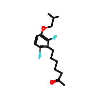 CC(=O)CCCCCc1c(F)ccc(OCC(C)C)c1F